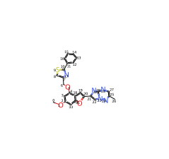 COc1cc(OCc2csc(-c3ccccc3)n2)c2cc(-c3cn4nc(C)cnc4n3)oc2c1